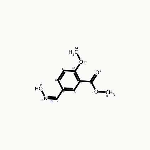 COC(=O)c1cc(/C=N\O)ccc1OC